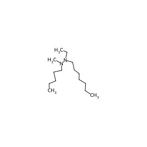 CCCCCCCN(CC)N(C)CCCCC